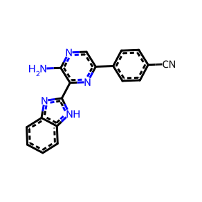 N#Cc1ccc(-c2cnc(N)c(-c3nc4ccccc4[nH]3)n2)cc1